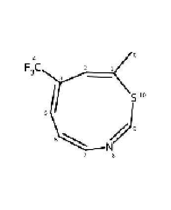 Cc1cc(C(F)(F)F)cccncs1